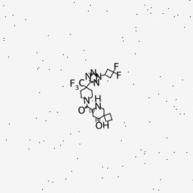 O=C([C@@H]1C[C@@H](O)C2(CCC2)CN1)N1CCC(c2nnn(C3CC(F)(F)C3)n2)(C(F)(F)F)CC1